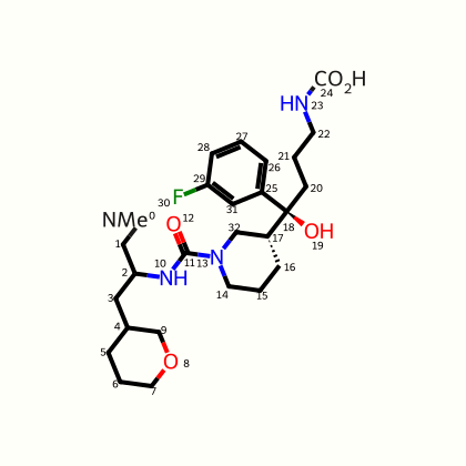 CNCC(CC1CCCOC1)NC(=O)N1CCC[C@@H]([C@@](O)(CCCNC(=O)O)c2cccc(F)c2)C1